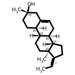 C/C=C1/CC[C@H]2[C@@H]3CC=C4C[C@@](C)(O)CC[C@@H]4[C@H]3CC[C@]12C